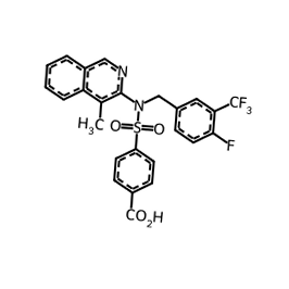 Cc1c(N(Cc2ccc(F)c(C(F)(F)F)c2)S(=O)(=O)c2ccc(C(=O)O)cc2)ncc2ccccc12